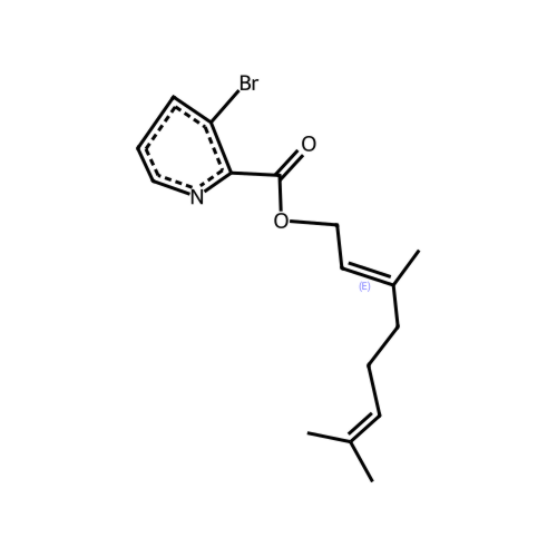 CC(C)=CCC/C(C)=C/COC(=O)c1ncccc1Br